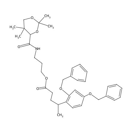 CC(CCC(=O)OCCCNC(=O)C1OC(C)(C)OCC1(C)C)c1ccc(OCc2ccccc2)cc1OCc1ccccc1